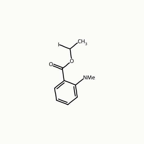 CNc1ccccc1C(=O)OC(C)I